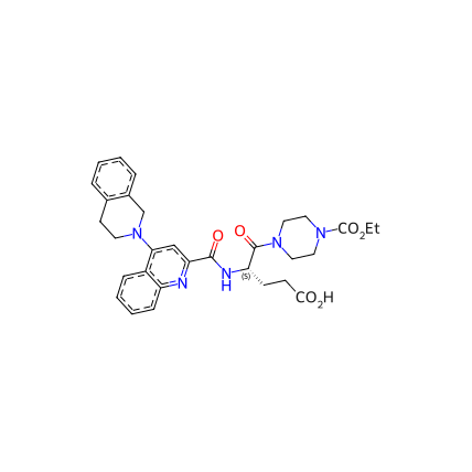 CCOC(=O)N1CCN(C(=O)[C@H](CCC(=O)O)NC(=O)c2cc(N3CCc4ccccc4C3)c3ccccc3n2)CC1